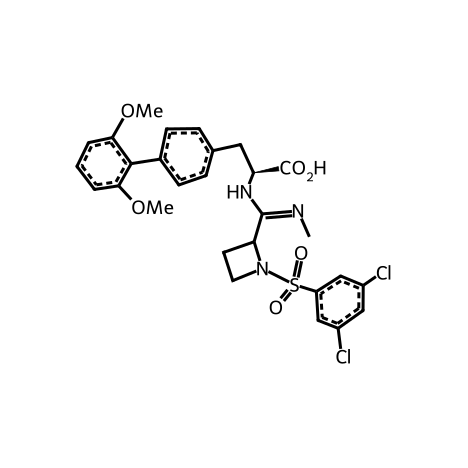 CN=C(N[C@@H](Cc1ccc(-c2c(OC)cccc2OC)cc1)C(=O)O)C1CCN1S(=O)(=O)c1cc(Cl)cc(Cl)c1